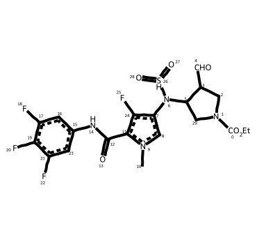 CCOC(=O)N1CC(C=O)C(N(c2cn(C)c(C(=O)Nc3cc(F)c(F)c(F)c3)c2F)[SH](=O)=O)C1